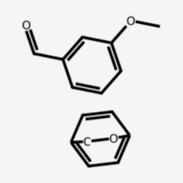 COc1cccc(C=O)c1.c1cc2ccc1CO2